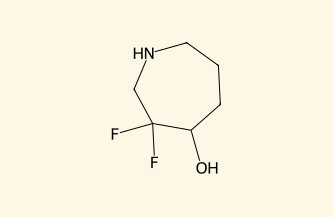 OC1CCCNCC1(F)F